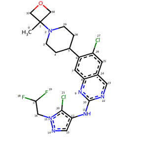 CC1(N2CCC(c3cc4nc(Nc5cnn(CC(F)F)c5Cl)ncc4cc3Cl)CC2)COC1